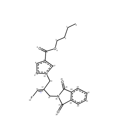 CCCCOC(=O)c1cnn(C/C(=C/F)CN2C(=O)c3ccccc3C2=O)c1